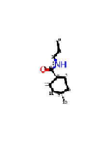 CCCNC(=O)[C@H]1CC[C@H](C)CC1